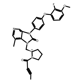 CC#CC(=O)N1CCC[C@@H]1Cn1c(=O)n(-c2ccc(Oc3cccc(OC)c3F)cc2)c2cncc(C)c21